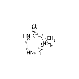 C[N+]1([Ti])CCNCCNCC1.[Cl-].[Cl-]